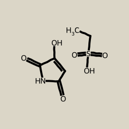 CCS(=O)(=O)O.O=C1C=C(O)C(=O)N1